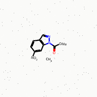 C.COC(=O)n1ncc2ccc([N+](=O)[O-])cc21